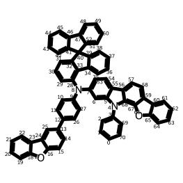 c1ccc(-n2c3cc(N(c4ccc(-c5ccc6oc7ccccc7c6c5)cc4)c4cccc5c4-c4ccccc4C54c5ccccc5-c5ccccc54)ccc3c3ccc4c5ccccc5oc4c32)cc1